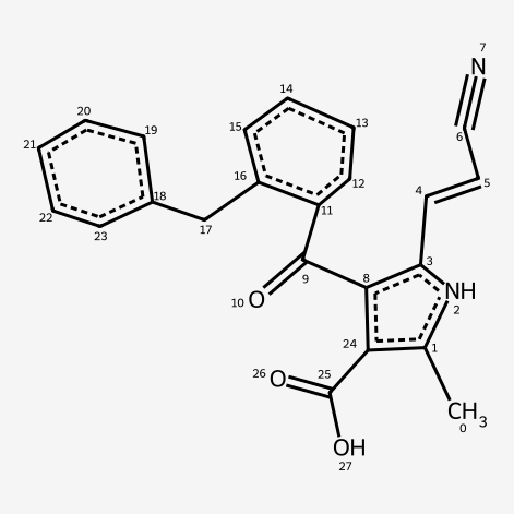 Cc1[nH]c(C=CC#N)c(C(=O)c2ccccc2Cc2ccccc2)c1C(=O)O